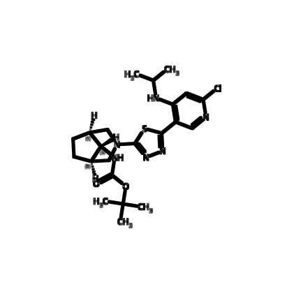 CC(C)Nc1cc(Cl)ncc1-c1nnc(N2C[C@H]3CC[C@@H](C2)[C@@H]3NC(=O)OC(C)(C)C)s1